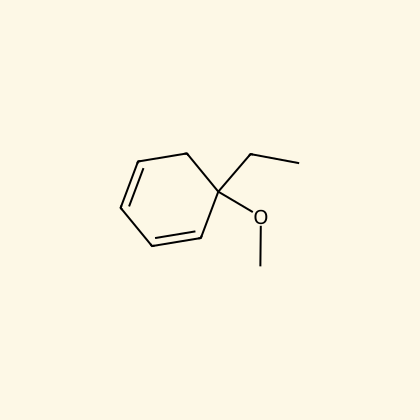 CCC1(OC)C=CC=CC1